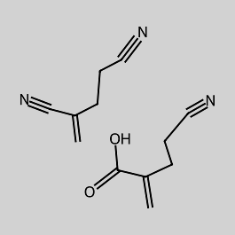 C=C(C#N)CCC#N.C=C(CCC#N)C(=O)O